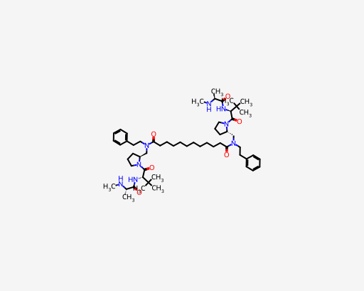 CN[C@@H](C)C(=O)N[C@H](C(=O)N1CCC[C@H]1CN(CCc1ccccc1)C(=O)CCCCCCCCCCC(=O)N(CCc1ccccc1)C[C@@H]1CCCN1C(=O)[C@@H](NC(=O)[C@H](C)NC)C(C)(C)C)C(C)(C)C